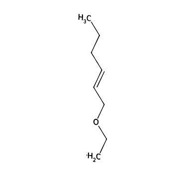 [CH2]COC/C=C/CCC